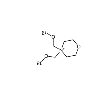 CCOC[N+]1(COCC)CCOCC1